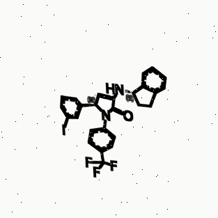 O=C1C(N[C@H]2CCc3ccccc32)=C[C@H](c2cccc(I)c2)N1c1ccc(C(F)(F)F)cc1